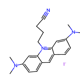 CN(C)c1ccc2cc3ccc(N(C)C)cc3[n+](CCCC#N)c2c1.[I-]